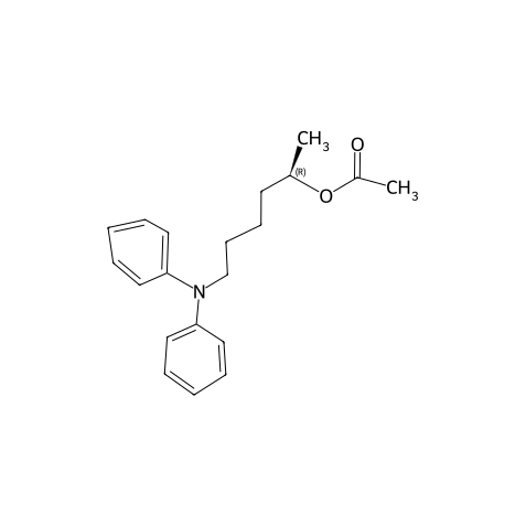 CC(=O)O[C@H](C)CCCCN(c1ccccc1)c1ccccc1